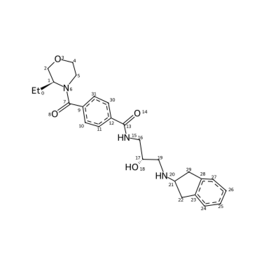 CC[C@H]1COCCN1C(=O)c1ccc(C(=O)NC[C@@H](O)CNC2Cc3ccccc3C2)cc1